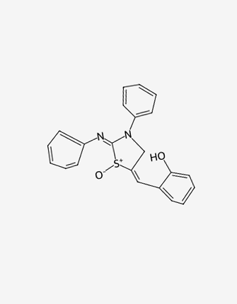 [O-][S+]1C(=Cc2ccccc2O)CN(c2ccccc2)C1=Nc1ccccc1